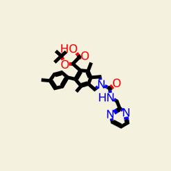 Cc1ccc(-c2c(C)c3c(c(C)c2C(OC(C)(C)C)C(=O)O)CN(C(=O)NCc2ncccn2)C3)cc1